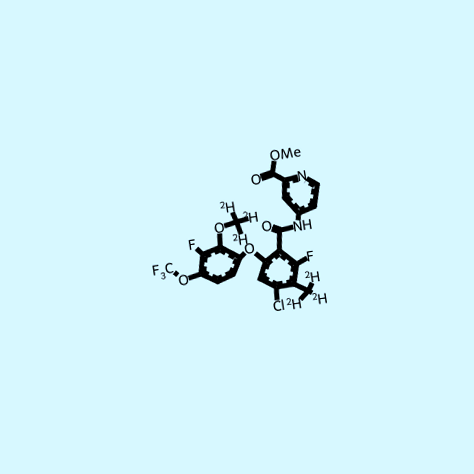 [2H]C([2H])([2H])Oc1c(Oc2cc(Cl)c(C([2H])([2H])[2H])c(F)c2C(=O)Nc2ccnc(C(=O)OC)c2)ccc(OC(F)(F)F)c1F